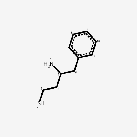 NC(CCS)Cc1ccccc1